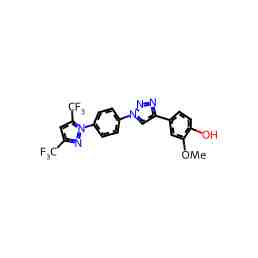 COc1cc(-c2cn(-c3ccc(-n4nc(C(F)(F)F)cc4C(F)(F)F)cc3)nn2)ccc1O